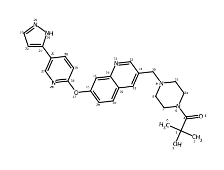 CC(C)(O)C(=O)N1CCN(Cc2cnc3cc(Oc4ccc(-c5ccn[nH]5)cn4)ccc3c2)CC1